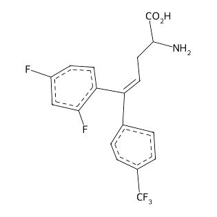 NC(C/C=C(/c1ccc(C(F)(F)F)cc1)c1ccc(F)cc1F)C(=O)O